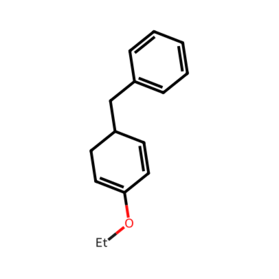 CCOC1=CCC(Cc2ccccc2)C=C1